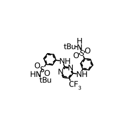 CC(C)(C)NS(=O)(=O)c1cccc(Nc2ncc(C(F)(F)F)c(Nc3cccc(S(=O)(=O)NC(C)(C)C)c3)n2)c1